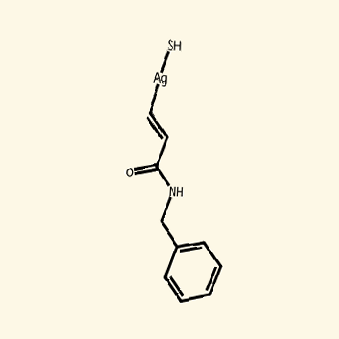 O=C(C=[CH][Ag][SH])NCc1ccccc1